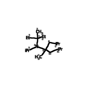 CCC(C)(CC)N(C(C)C)C(C)(CC(C)C)CC(C)C